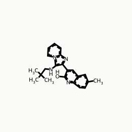 Cc1ccc2nc(O)c(-c3nc4ccccn4c3NCC(C)(C)C)cc2c1